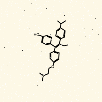 CCC(=C(c1ccc(O)cc1)c1ccc(OCCN(C)C)cc1)c1ccc(C(C)C)cc1